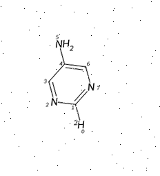 [2H]c1ncc(N)cn1